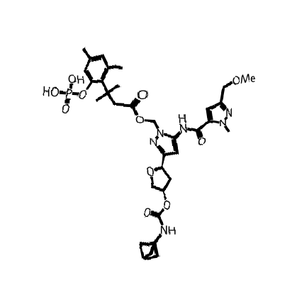 COCc1cc(C(=O)Nc2cc([C@H]3C[C@@H](OC(=O)NC45CC(C4)C5)CO3)nn2COC(=O)CC(C)(C)c2c(C)cc(C)cc2OP(=O)(O)O)n(C)n1